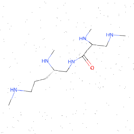 CNCCC[C@@H](CNC(=O)C(CNC)NC)NC